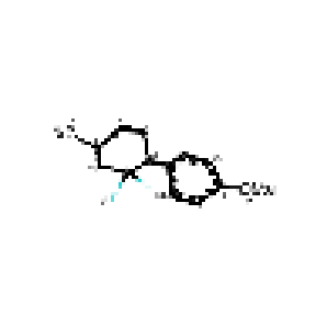 CCCC1CCC(c2ccc(OC)cc2)C(F)(F)C1